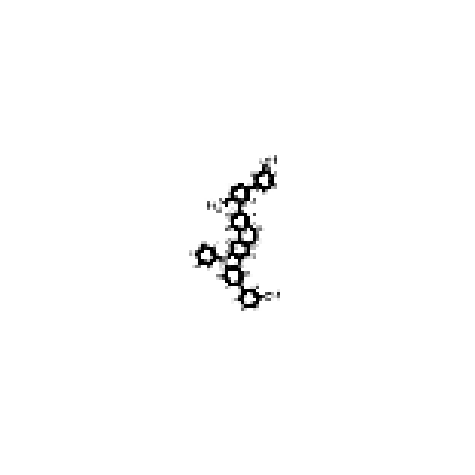 Nc1ccc(-c2cccc(O)c2)cc1-c1ccc2c(c1)CCc1cc3c4cc(-c5cccc(O)c5)ccc4n(-c4ccccc4)c3cc1-2